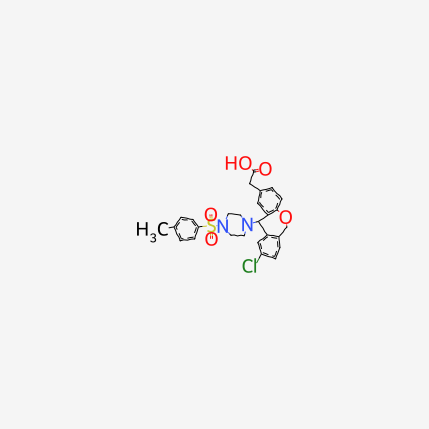 Cc1ccc(S(=O)(=O)N2CCN(C3c4cc(Cl)ccc4COc4ccc(CC(=O)O)cc43)CC2)cc1